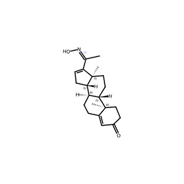 C/C(=N/O)C1=CC[C@H]2[C@@H]3CCC4=CC(=O)CC[C@]4(C)[C@H]3CC[C@]12C